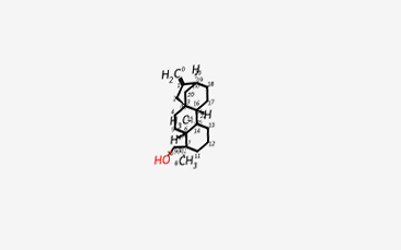 C=C1C[C@]23CC[C@H]4[C@](C)(CO)CCC[C@]4(C)[C@H]2CC[C@H]1C3